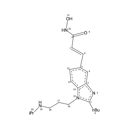 CCCCc1nc2cc(/C=C/C(=O)NO)ccc2n1CCCNC(C)C